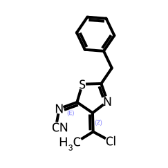 C/C(Cl)=C1/N=C(Cc2ccccc2)S/C1=N/C#N